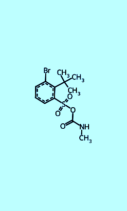 CNC(=O)OS(=O)(=O)c1cccc(Br)c1C(C)(C)C